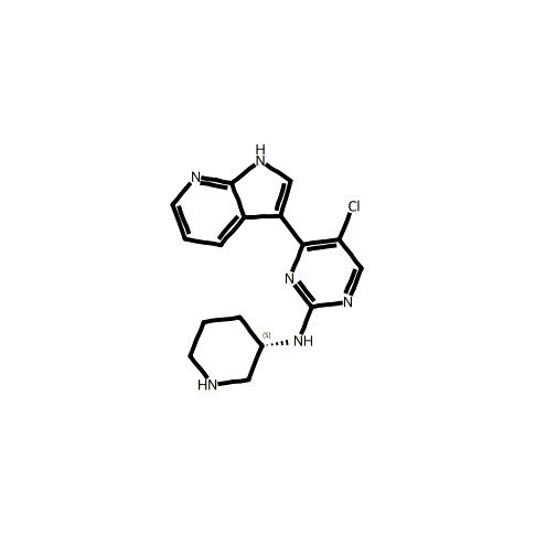 Clc1cnc(N[C@H]2CCCNC2)nc1-c1c[nH]c2ncccc12